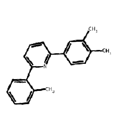 Cc1ccc(-c2cccc(-c3ccccc3C)n2)cc1C